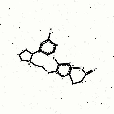 O=C1CCc2cc(OCCN3CCCC3c3cccc(F)c3)c(F)cc2N1